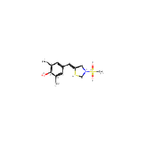 CC(C)(C)c1cc(C=C2CN(S(C)(=O)=O)CS2)cc(C(C)(C)C)c1O